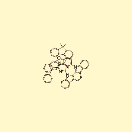 CC1(C)c2ccccc2-c2c(-c3nc(-c4ccccc4)nc(-n4c5ccccc5c5ccc6c7ccccc7n(-c7ccc8oc9ccc(-c%10ccccc%10)cc9c8c7)c6c54)n3)cccc21